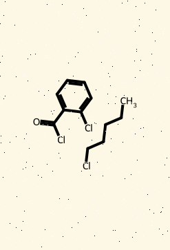 CCCCCCl.O=C(Cl)c1ccccc1Cl